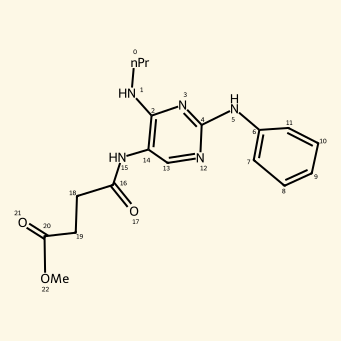 CCCNc1nc(Nc2ccccc2)ncc1NC(=O)CCC(=O)OC